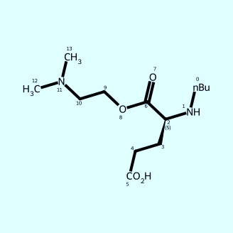 CCCCN[C@@H](CCC(=O)O)C(=O)OCCN(C)C